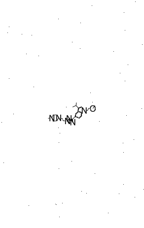 COCCn1cc(C(C)C)c2cc(-c3ncn(CCN4CCN(C)CC4)n3)ccc21